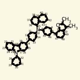 Cc1oc2c(-c3ccc(N(c4ccc(-c5ccc6c(c5)c5ccccc5n6-c5ccccc5)cc4)c4cccc5ccccc45)cc3)cccc2c1C